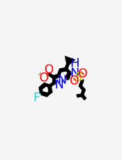 COC(=O)c1c(-c2ccc(F)cc2)nn2cc(NS(=O)(=O)CCCC(C)C)c(C3CC3)cc12